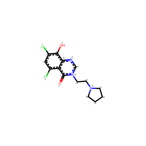 O=c1c2c(Cl)cc(Cl)c(O)c2ncn1CCN1CCCC1